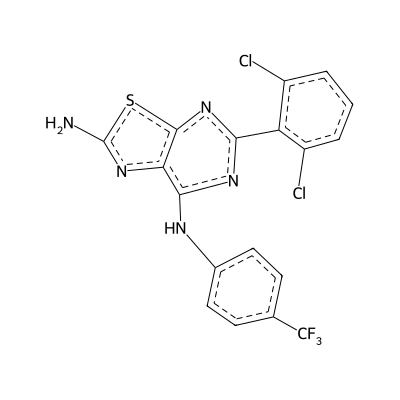 Nc1nc2c(Nc3ccc(C(F)(F)F)cc3)nc(-c3c(Cl)cccc3Cl)nc2s1